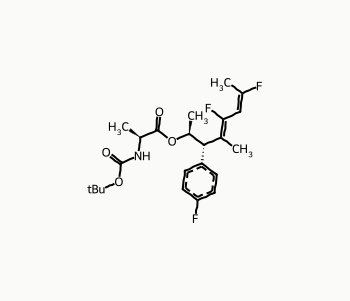 C/C(=C(F)\C=C(/C)F)[C@H](c1ccc(F)cc1)[C@H](C)OC(=O)[C@H](C)NC(=O)OC(C)(C)C